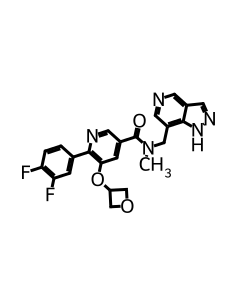 CN(Cc1cncc2cn[nH]c12)C(=O)c1cnc(-c2ccc(F)c(F)c2)c(OC2COC2)c1